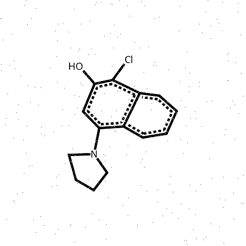 Oc1cc(N2CCCC2)c2ccccc2c1Cl